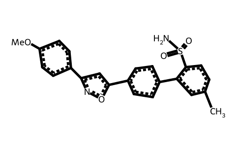 COc1ccc(-c2cc(-c3ccc(-c4cc(C)ccc4S(N)(=O)=O)cc3)on2)cc1